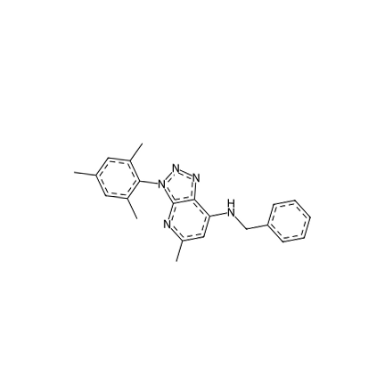 Cc1cc(C)c(-n2nnc3c(NCc4ccccc4)cc(C)nc32)c(C)c1